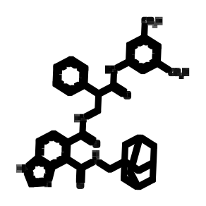 O=C(O)c1cc(NC(=O)C(CNC(=O)c2ccc3[nH]cnc3c2C(=O)NCC23CC4CC(CC(C4)C2)C3)c2ccccc2)cc(C(=O)O)c1